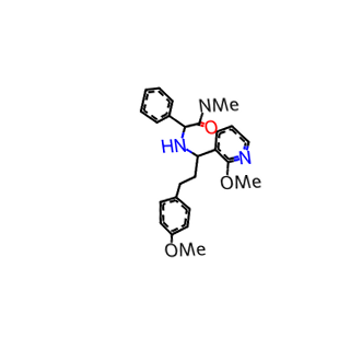 CNC(=O)C(NC(CCc1ccc(OC)cc1)c1cccnc1OC)c1ccccc1